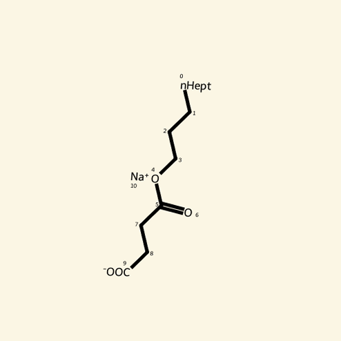 CCCCCCCCCCOC(=O)CCC(=O)[O-].[Na+]